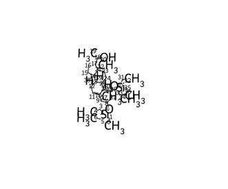 CC[Si](CC)(CC)O[C@@H]1CC2=CC[C@H]3[C@@H]4CC[C@H]([C@H](C)O)[C@@]4(C)CC[C@@H]3[C@@]2(C)[C@@H](O[Si](CC)(CC)CC)C1